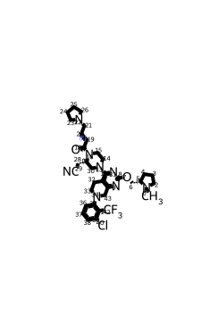 CN1CCC[C@H]1COc1nc2c(c(N3CCN(C(=O)/C=C/CN4CCCC4)[C@@H](CC#N)C3)n1)CCN(c1cccc(Cl)c1C(F)(F)F)C2